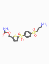 NCCCS(=O)(=O)c1ccc(S(=O)(=O)c2ccc(COC(N)=O)s2)cc1